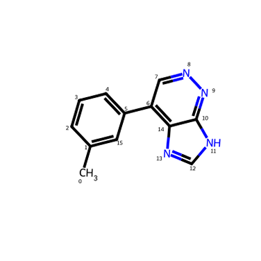 Cc1cccc(-c2cnnc3[nH]cnc23)c1